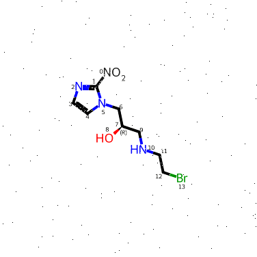 O=[N+]([O-])c1nccn1C[C@H](O)CNCCBr